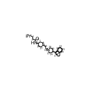 CC(C)CCC(=O)NC1CCC(CCN2CCC(c3coc4ccccc34)CC2)CC1